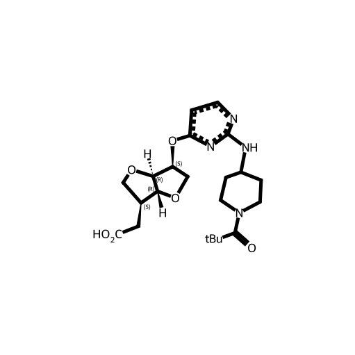 CC(C)(C)C(=O)N1CCC(Nc2nccc(O[C@H]3CO[C@@H]4[C@@H](CC(=O)O)CO[C@H]43)n2)CC1